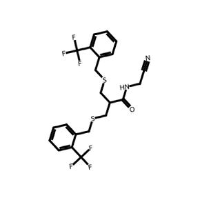 N#CCNC(=O)C(CSCc1ccccc1C(F)(F)F)CSCc1ccccc1C(F)(F)F